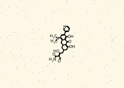 CN(C)c1cc(-c2cccnc2)c(O)c2c1CC1CC(C/C(O)=C(\C=O)C(N)=O)CC(O)=C1C2=O